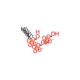 O=P([O-])([O-])OCO.O=P([O-])([O-])OCO.O=P([O-])([O-])OCO.[H+].[H+].[H+].[H+].[K+].[K+]